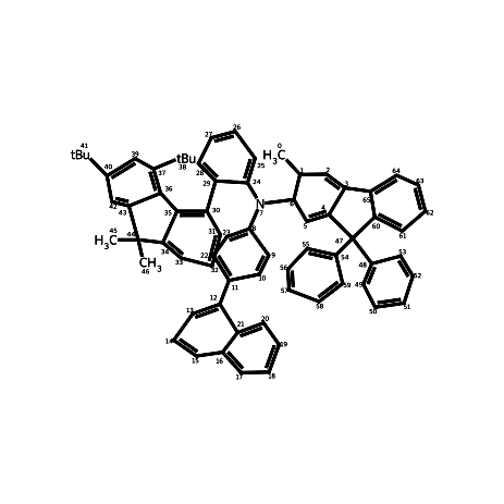 CC1C=C2C(=CC1N(c1ccc(-c3cccc4ccccc34)cc1)c1ccccc1-c1cccc3c1-c1c(C(C)(C)C)cc(C(C)(C)C)cc1C3(C)C)C(c1ccccc1)(c1ccccc1)c1ccccc12